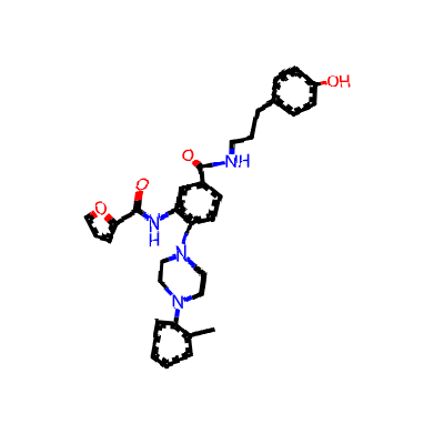 Cc1ccccc1N1CCN(c2ccc(C(=O)NCCCc3ccc(O)cc3)cc2NC(=O)c2ccco2)CC1